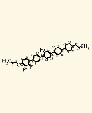 C=CCOc1ccc(-c2ccc(-c3ccc(C4=CCC(C5CCC(CCC)CC5)CC4)cc3F)cc2)c(F)c1F